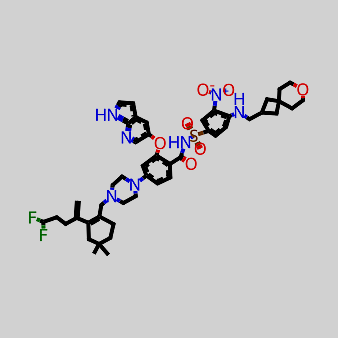 C=C(CCC(F)F)C1=C(CN2CCN(c3ccc(C(=O)NS(=O)(=O)c4ccc(NCC5CC6(CCOCC6)C5)c([N+](=O)[O-])c4)c(Oc4cnc5[nH]ccc5c4)c3)CC2)CCC(C)(C)C1